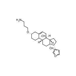 C[C@]12CC[C@H]3[C@@H](CC=C4C[C@@H](OCCCN)CC[C@@]43C)[C@@H]1CC[C@@H]2c1ccoc1